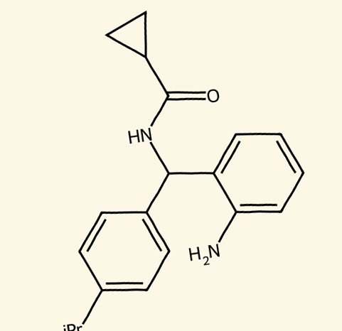 CC(C)c1ccc(C(NC(=O)C2CC2)c2ccccc2N)cc1